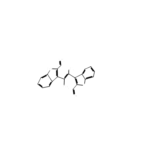 C=Cc1[nH]c2ccccc2c1/C(C)=C(\C)c1c(C=C)sc2ccccc12